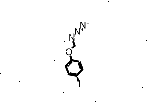 [N-]=[N+]=NCOc1ccc(I)cc1